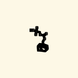 O=C(OCC12CC3CC(CC(C3)C1)C2)OCS(=O)(=O)O